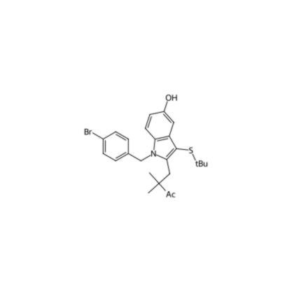 CC(=O)C(C)(C)Cc1c(SC(C)(C)C)c2cc(O)ccc2n1Cc1ccc(Br)cc1